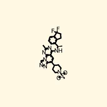 Cc1nc(N[C@H](C)c2cccc3c2CCC3(F)F)c2cc(C3CCN(S(C)(=O)=O)CC3)c3nncn3c2n1